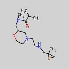 CC(C)C(=O)N(C)C[C@@H]1CN(CCNCC2(C)CS2)CCO1